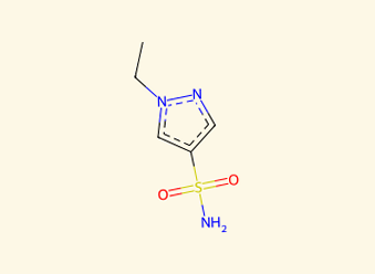 CCn1cc(S(N)(=O)=O)cn1